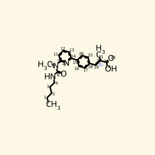 CCCCCNC(=O)N(C)c1cccc(-c2ccc(/C=C(\C)C(=O)O)cc2)n1